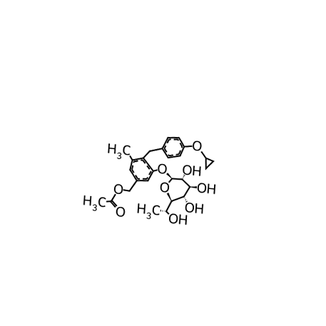 CC(=O)OCc1cc(C)c(Cc2ccc(OC3CC3)cc2)c(O[C@@H]2O[C@H]([C@@H](C)O)[C@@H](O)[C@H](O)[C@H]2O)c1